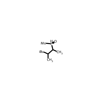 CCC(C)C(C)C(C)[PH](=O)[Mo]